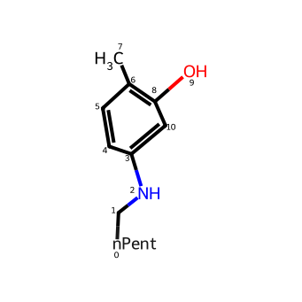 CCCCCCNc1ccc(C)c(O)c1